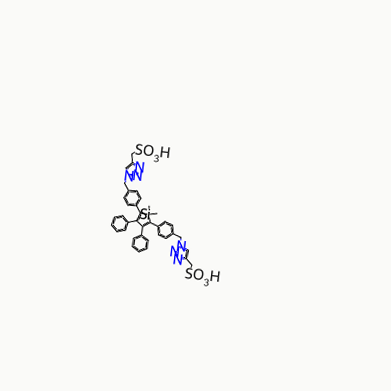 C[Si]1(C)C(c2ccc(Cn3cc(CS(=O)(=O)O)nn3)cc2)=C(c2ccccc2)C(c2ccccc2)=C1c1ccc(Cn2cc(CS(=O)(=O)O)nn2)cc1